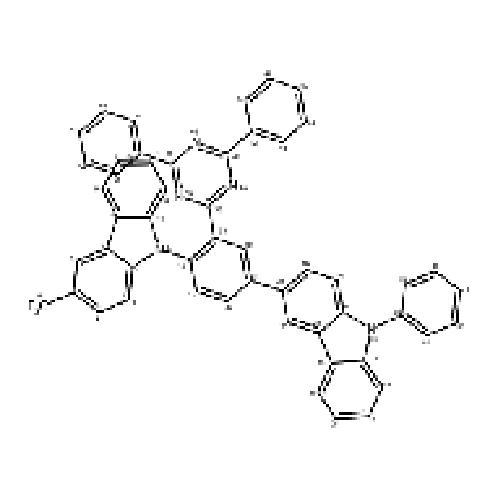 FC(F)(F)c1ccc2c(c1)c1ccccc1n2-c1ccc(-c2ccc3c(c2)c2ccccc2n3-c2ccccc2)cc1-c1nc(-c2ccccc2)nc(-c2ccccc2)n1